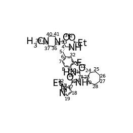 CCC(=O)N[C@H](Cc1ccc(NC(=O)[C@@H](NC(=O)c2ccnn2CC)C2CCCCCC2)c(F)c1)C(=O)N1CCN(C)CC1